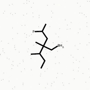 BCC(C)(CC(C)F)C(C)CC